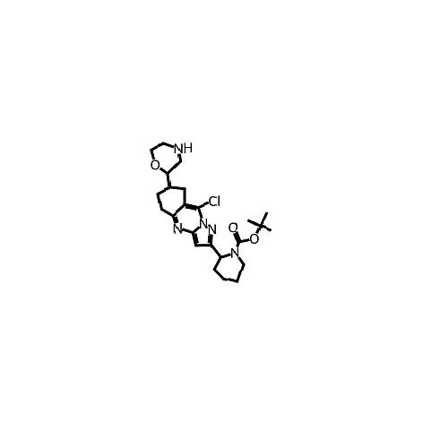 CC(C)(C)OC(=O)N1CCCCC1c1cc2nc3c(c(Cl)n2n1)CC(C1CNCCO1)CC3